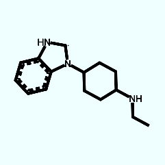 CCNC1CCC(N2[CH]Nc3ccccc32)CC1